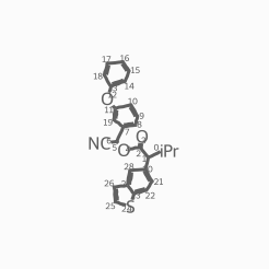 CC(C)C(C(=O)OC(C#N)c1cccc(Oc2ccccc2)c1)c1ccc2sccc2c1